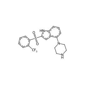 O=S(=O)(c1cc2c(N3CCNCC3)cccc2[nH]1)c1ccccc1C(F)(F)F